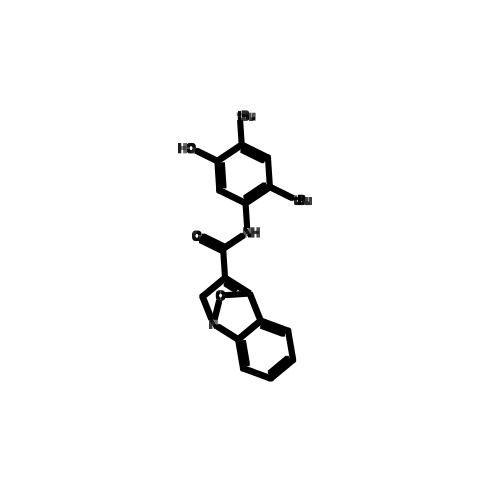 CC(C)(C)c1cc(C(C)(C)C)c(NC(=O)C2=C3ON(C2)c2ccccc23)cc1O